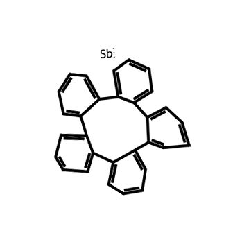 [Sb].c1ccc2c(c1)c1ccccc1c1ccccc1c1ccccc1c1ccccc21